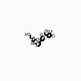 Cc1nn(CCO)cc1Nc1nccc(-c2ccn(C(CO)c3ccc(Cl)c(F)c3)c(=O)c2)n1